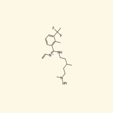 C=C/N=C(/NCCC(C)CCN(C)CCC)c1cccc(C(C)(F)F)c1C